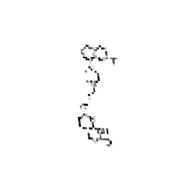 O=c1ccc2ccc(OCCCN3CCN(c4cccc5ccc(F)cc45)CC3)nc2[nH]1